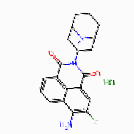 CN1C2CCCC1CC(N1C(=O)c3cccc4c(N)c(Cl)cc(c34)C1=O)C2.Cl